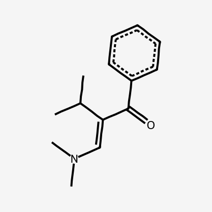 CC(C)/C(=C\N(C)C)C(=O)c1ccccc1